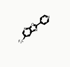 FC(F)(F)c1cnc2oc(-c3ccncc3)nc2c1